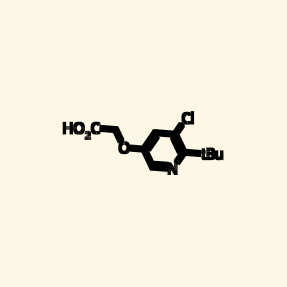 CC(C)(C)c1ncc(OCC(=O)O)cc1Cl